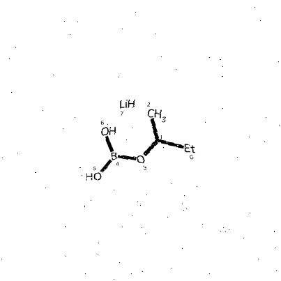 CCC(C)OB(O)O.[LiH]